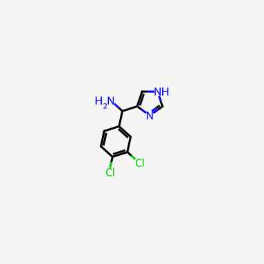 NC(c1ccc(Cl)c(Cl)c1)c1c[nH]cn1